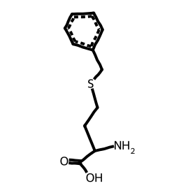 NC(CCSCc1ccccc1)C(=O)O